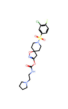 O=C(NCCN1CCCC1)OC1=NOC2(CCN(S(=O)(=O)c3ccc(F)c(Cl)c3)CC2)C1